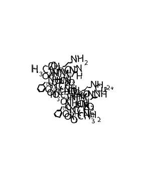 CCCN(C(=O)[C@H](Cc1ccccc1)NC(=O)[C@@H](NC(=O)[C@H](CCCCN)NC(=O)[C@H](Cc1c[nH]cn1)NC(=O)CN)C(C)C)[C@H](C(=O)[O-])C(C)C.CCCN(C(=O)[C@H](Cc1ccccc1)NC(=O)[C@@H](NC(=O)[C@H](CCCCN)NC(=O)[C@H](Cc1c[nH]cn1)NC(=O)CN)C(C)C)[C@H](C(=O)[O-])C(C)C.[Cu+2]